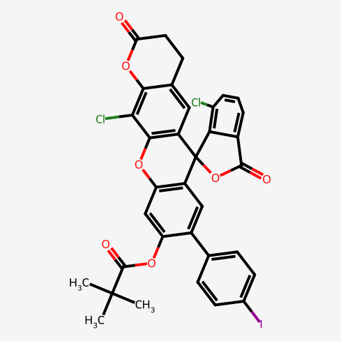 CC(C)(C)C(=O)Oc1cc2c(cc1-c1ccc(I)cc1)C1(OC(=O)c3cccc(Cl)c31)c1cc3c(c(Cl)c1O2)OC(=O)CC3